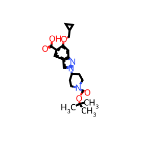 CC(C)(C)OC(=O)N1CCC(n2cc3cc(C(=O)O)c(OCC4CC4)cc3n2)CC1